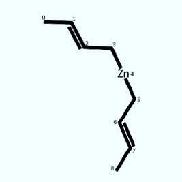 CC=C[CH2][Zn][CH2]C=CC